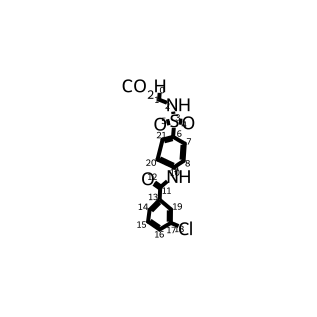 O=C(O)CNS(=O)(=O)c1ccc(NC(=O)c2cccc(Cl)c2)cc1